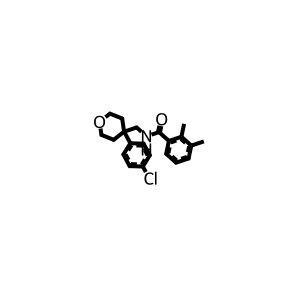 Cc1cccc(C(=O)NCC2(c3ccc(Cl)cc3)CCOCC2)c1C